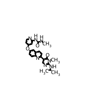 CNC(=O)Nc1cc(Oc2ccc3nc(-c4cnc(NC(C)C)n(C)c4=O)ccc3c2)ccn1